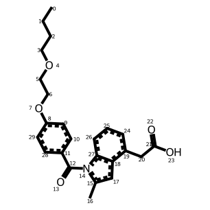 CCCCOCCOc1ccc(C(=O)n2c(C)cc3c(CC(=O)O)cccc32)cc1